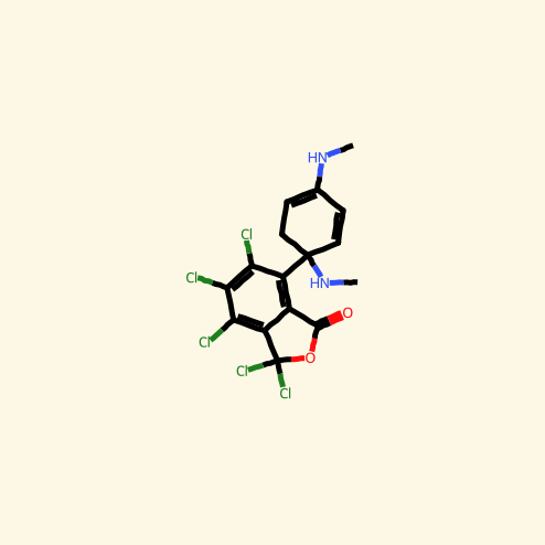 CNC1=CCC(NC)(c2c(Cl)c(Cl)c(Cl)c3c2C(=O)OC3(Cl)Cl)C=C1